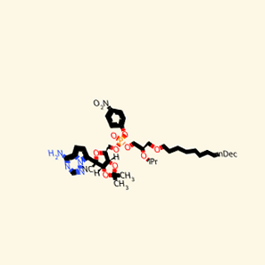 CCCCCCCCCCCCCCCCCCOC[C@H](COP(=O)(OC[C@H]1O[C@@](C#N)(c2ccc3c(N)ncnn23)[C@@H]2OC(C)(C)O[C@@H]21)Oc1ccc([N+](=O)[O-])cc1)OC(C)C